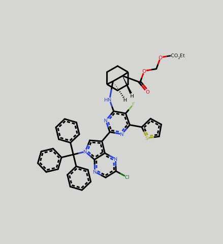 CCOC(=O)OCOC(=O)[C@H]1C2CCC(CC2)[C@@H]1Nc1nc(-c2cn(C(c3ccccc3)(c3ccccc3)c3ccccc3)c3ncc(Cl)nc23)nc(-c2cccs2)c1F